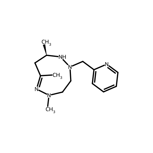 C/C1=N\N(C)CCN(Cc2ccccn2)N[C@H](C)C1